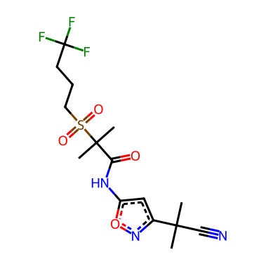 CC(C)(C#N)c1cc(NC(=O)C(C)(C)S(=O)(=O)CCCC(F)(F)F)on1